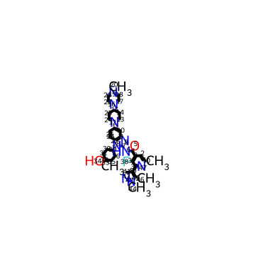 Cc1cc(C(=O)Nc2nc3cc(N4CCC(N5CCN(C)CC5)CC4)ccc3n2[C@H]2CC[C@@](C)(O)CC2)c(F)c(-c2cnn(C)c2C)n1